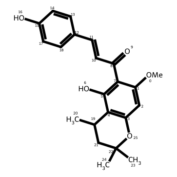 COc1cc2c(c(O)c1C(=O)/C=C/c1ccc(O)cc1)C(C)CC(C)(C)O2